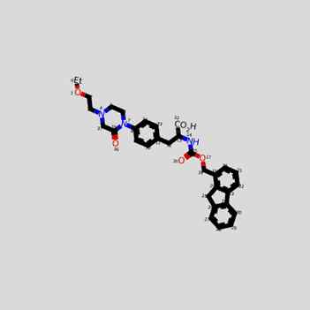 CCOCCN1CCN(c2ccc(CC(NC(=O)OCc3cccc4c3Cc3ccccc3-4)C(=O)O)cc2)C(=O)C1